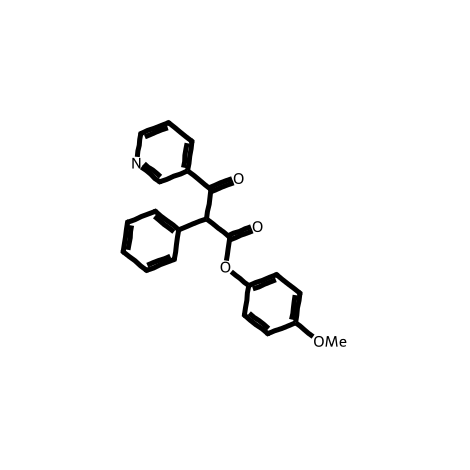 COc1ccc(OC(=O)C(C(=O)c2cccnc2)c2ccccc2)cc1